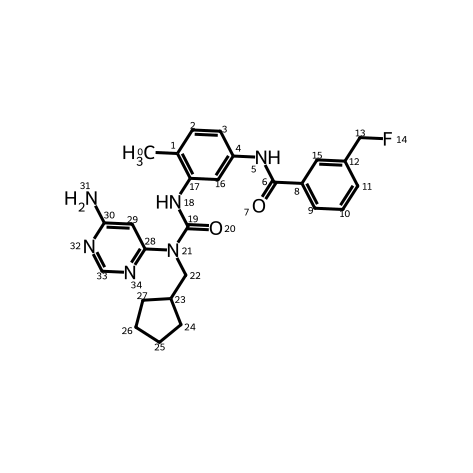 Cc1ccc(NC(=O)c2cccc(CF)c2)cc1NC(=O)N(CC1CCCC1)c1cc(N)ncn1